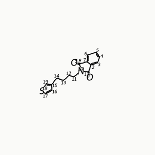 O=C1c2ccccc2C(=O)N1CCCCc1ccsc1